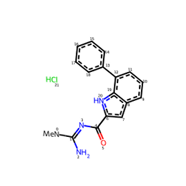 CNC(N)=NC(=O)c1cc2cccc(-c3ccccc3)c2[nH]1.Cl